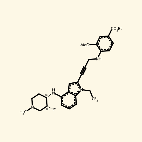 CCOC(=O)c1ccc(NCC#Cc2cc3c(N[C@H]4CCN(C)C[C@H]4F)cccc3n2CC(F)(F)F)c(OC)c1